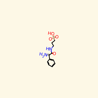 N[C@H](C(=O)NCCCS(=O)(=O)O)c1ccccc1